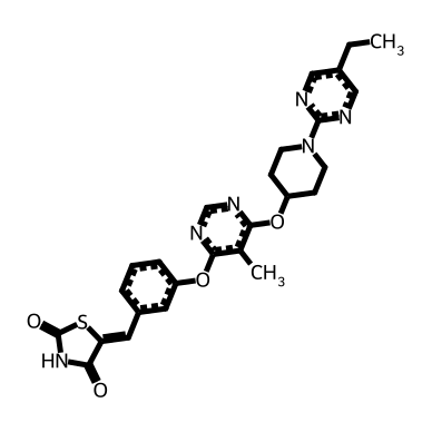 CCc1cnc(N2CCC(Oc3ncnc(Oc4cccc(/C=C5\SC(=O)NC5=O)c4)c3C)CC2)nc1